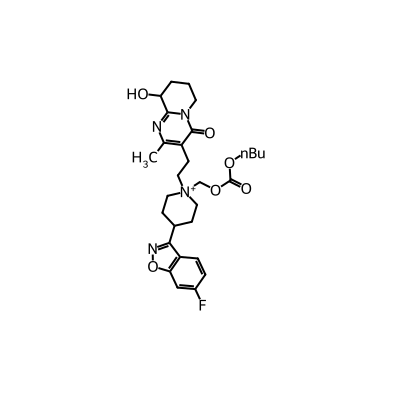 CCCCOC(=O)OC[N+]1(CCc2c(C)nc3n(c2=O)CCCC3O)CCC(c2noc3cc(F)ccc23)CC1